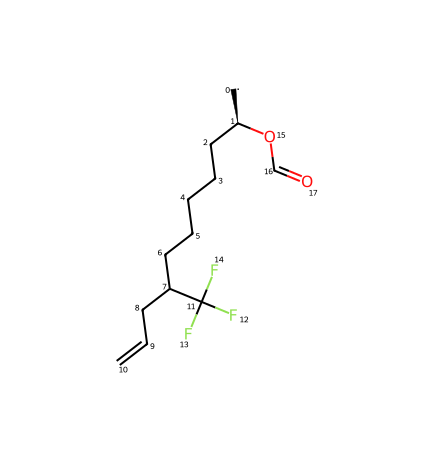 [CH2][C@H](CCCCCC(CC=C)C(F)(F)F)OC=O